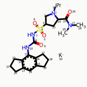 CC(C)N1CC(S(=O)(=O)NC(=O)Nc2c3c(cc4c2CCC4)CCC3)CC1C(=O)N(C)C.[K]